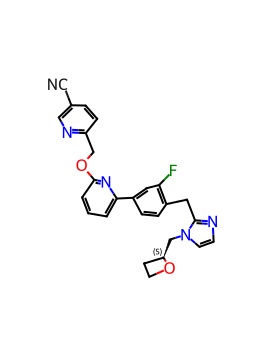 N#Cc1ccc(COc2cccc(-c3ccc(Cc4nccn4C[C@@H]4CCO4)c(F)c3)n2)nc1